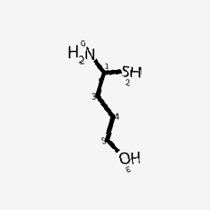 NC(S)CCCO